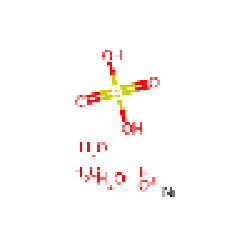 O.O.O.O.O=S(=O)(O)O.[Ni]